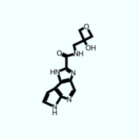 O=C(NCC1(O)COC1)c1nc2cnc3[nH]ccc3c2[nH]1